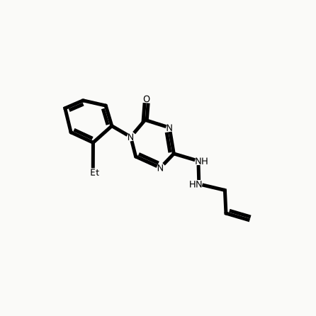 C=CCNNc1ncn(-c2ccccc2CC)c(=O)n1